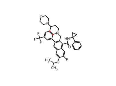 CC(C)Oc1cc2nc(-c3cccc(C(F)(F)F)c3)c(CN3CCC(N4CCOCC4)CC3)c(C(=O)NC3(c4ccccc4)CC3)c2cc1F